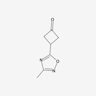 Cc1noc(C2CC(=O)C2)n1